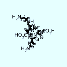 CC(C)(CCN)NCc1cnn(C[C@H]2[C@H](NC(=O)C(=NOC3(C(=O)O)CC3)c3csc(N)n3)C(=O)N2S(=O)(=O)O)n1